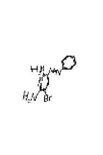 Nc1nc(N)c(N=Nc2ccccc2)cc1Br